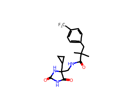 CC(C)(Cc1ccc(C(F)(F)F)cc1)C(=O)NCC1(C2CC2)NC(=O)NC1=O